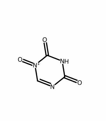 O=C1N=C[N+](=O)C(=O)N1